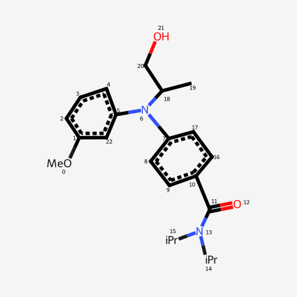 COc1cccc(N(c2ccc(C(=O)N(C(C)C)C(C)C)cc2)C(C)CO)c1